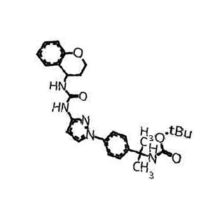 CC(C)(C)OC(=O)NC(C)(C)c1ccc(-n2ccc(NC(=O)NC3CCOc4ccccc43)n2)cc1